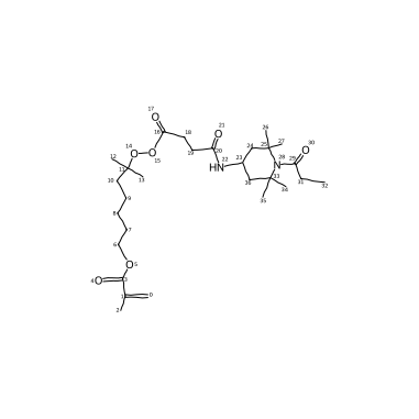 C=C(C)C(=O)OCCCCCC(C)(C)OOC(=O)CCC(=O)NC1CC(C)(C)N(C(=O)CC)C(C)(C)C1